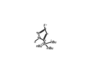 CCC[CH2][Sn]([CH2]CCC)([CH2]CCC)[c]1cc(F)nn1C